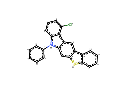 Clc1cccc2c1c1cc3c(cc1n2-c1ccccc1)sc1ccccc13